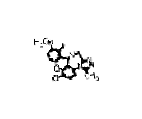 COc1ccc(F)c(C2=NCc3nnc(C)n3-c3ccc(Cl)c(Cl)c32)c1F